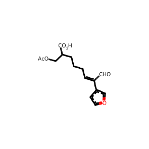 CC(=O)OCC(CCCC=C(C=O)c1ccoc1)C(=O)O